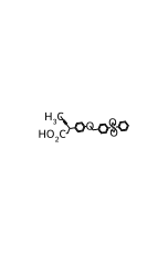 CC#CC(CC(=O)O)c1ccc(OCc2ccc(S(=O)(=O)c3ccccc3)cc2)cc1